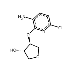 Nc1ccc(Cl)nc1O[C@H]1COC[C@@H]1O